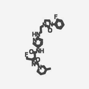 CC1CCCN(c2nc(CF)c(C(=O)Nc3ccc(NCCN4CCN(c5ccccc5F)C4=O)nc3)o2)C1